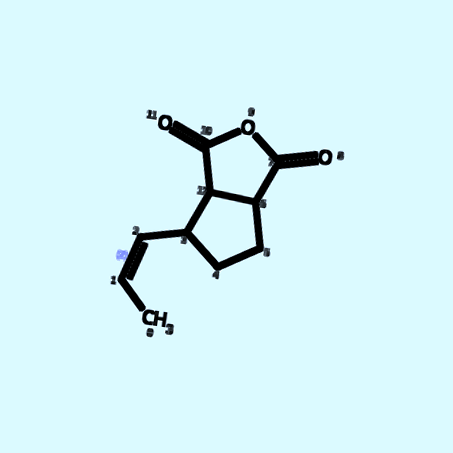 C/C=C\C1CCC2C(=O)OC(=O)C12